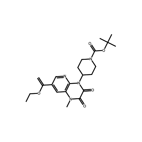 C=C(OCC)c1cnc2c(c1)n(C)c(=O)c(=O)n2C1CCN(C(=O)OC(C)(C)C)CC1